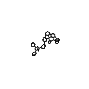 c1ccc(-c2cc(-c3ccccc3)nc(-c3cccc(-c4ccc5c(c4)C4(c6ccccc6-5)c5ccccc5C5(c6ccccc6)c6ccccc6-c6cccc4c65)c3)c2)cc1